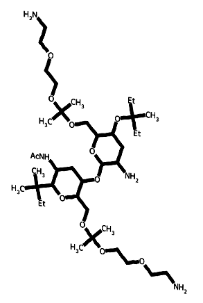 CCC(C)(CC)OC1CC(N)C(OC2CC(NC(C)=O)C(C(C)(C)CC)OC2COC(C)(C)OCCOCCN)OC1COC(C)(C)OCCOCCN